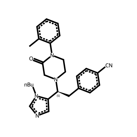 CCCCn1cncc1[C@H](Cc1ccc(C#N)cc1)N1CCN(c2ccccc2C)C(=O)C1